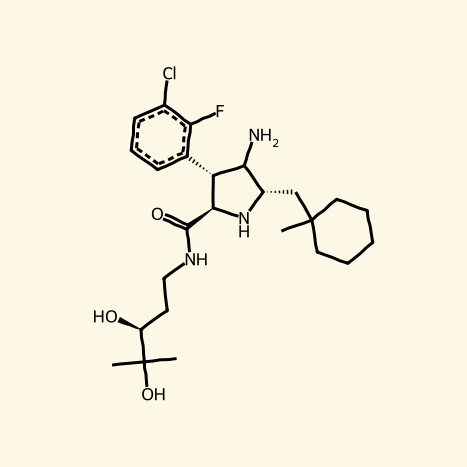 CC1(C[C@@H]2N[C@@H](C(=O)NCC[C@H](O)C(C)(C)O)[C@H](c3cccc(Cl)c3F)C2N)CCCCC1